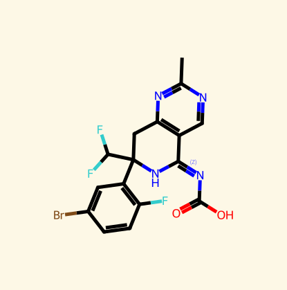 Cc1ncc2c(n1)CC(c1cc(Br)ccc1F)(C(F)F)N/C2=N\C(=O)O